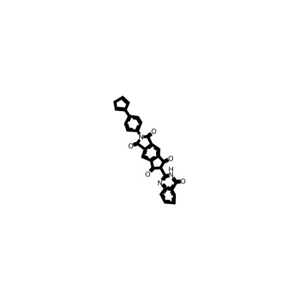 O=C1c2cc3c(cc2C(=O)C1c1nc2ccccc2c(=O)[nH]1)C(=O)N(c1ccc(C2=CCC=C2)cc1)C3=O